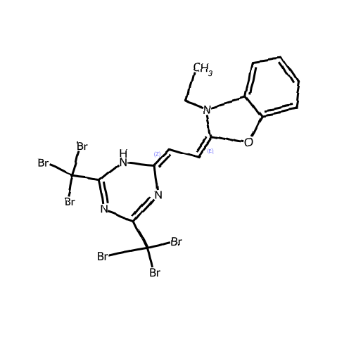 CCN1/C(=C\C=C2/N=C(C(Br)(Br)Br)N=C(C(Br)(Br)Br)N2)Oc2ccccc21